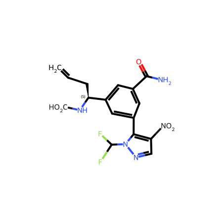 C=CC[C@H](NC(=O)O)c1cc(C(N)=O)cc(-c2c([N+](=O)[O-])cnn2C(F)F)c1